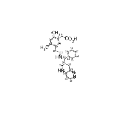 Cc1cc(C)c(CC(=O)O)cc1CCN[C@H](c1ccccc1)[C@@H]1CNc2ccnnc2C1